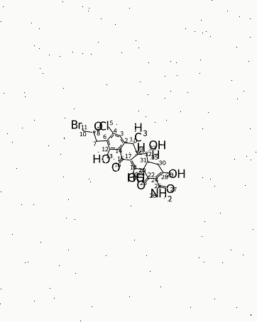 C[C@H]1c2cc(Cl)c(CC(=O)CBr)c(O)c2C(=O)C2=C(O)[C@]3(O)C(=O)C(C(N)=O)=C(O)C[C@@H]3[C@@H](O)[C@@H]21